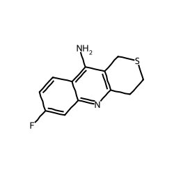 Nc1c2c(nc3cc(F)ccc13)CCSC2